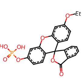 CCOc1ccc2c(c1)Oc1cc(OP(=O)(O)O)ccc1C21OC(=O)c2ccccc21